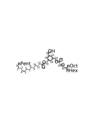 CCCCC/C=C\C/C=C\CCCCCCCC(=O)OCc1cc(CO)cc(COC(=O)COCC(CCCCCC)CCCCCCCC)c1